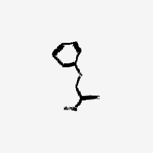 CC(=O)NC(=O)CSc1ccccc1